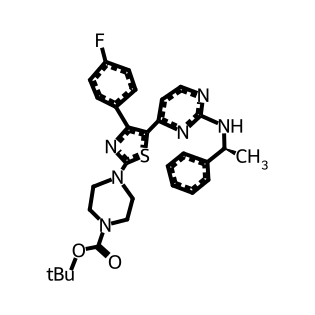 C[C@H](Nc1nccc(-c2sc(N3CCN(C(=O)OC(C)(C)C)CC3)nc2-c2ccc(F)cc2)n1)c1ccccc1